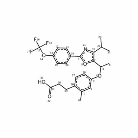 Cc1cc(OC(C)c2oc(-c3ccc(OC(F)(F)F)cc3)nc2C(C)C)ccc1CCC(=O)O